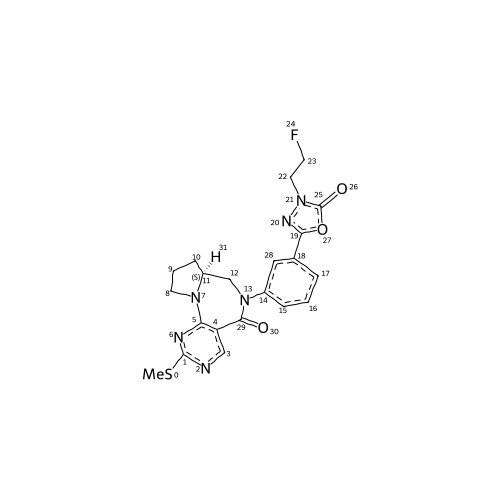 CSc1ncc2c(n1)N1CCC[C@H]1CN(c1cccc(-c3nn(CCF)c(=O)o3)c1)C2=O